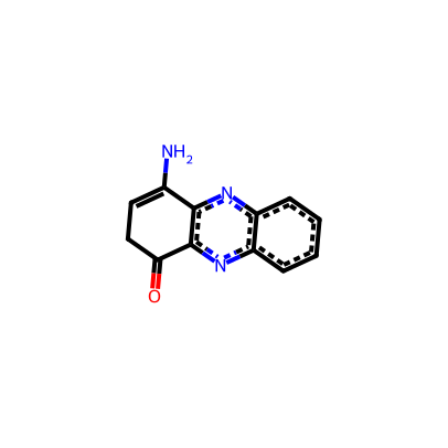 NC1=CCC(=O)c2nc3ccccc3nc21